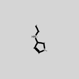 CCNC1C=CSC1